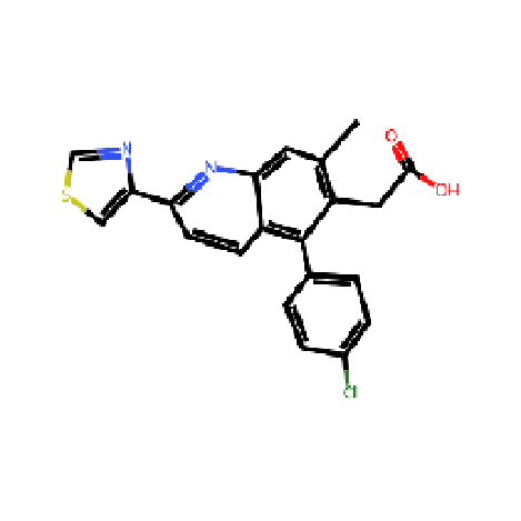 Cc1cc2nc(-c3cscn3)ccc2c(-c2ccc(Cl)cc2)c1CC(=O)O